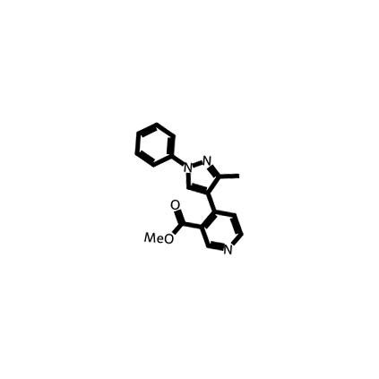 COC(=O)c1cnccc1-c1cn(-c2ccccc2)nc1C